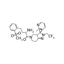 CS(=O)(=O)c1ccccc1CCC(N)C(=O)N1CCC2=NN(CC(F)(F)F)C(=O)[C@]2(Cc2ccccn2)C1